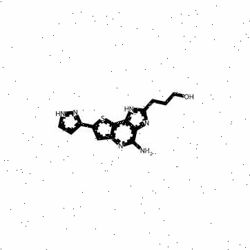 Nc1nc2cc(-c3cc[nH]n3)sc2c2[nH]c(CCCO)nc12